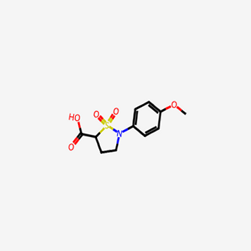 COc1ccc(N2CCC(C(=O)O)S2(=O)=O)cc1